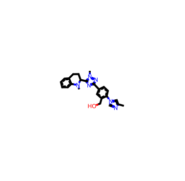 Cc1cn(-c2ccc(-c3nc(C4CCc5ccccc5N4C)n(C)n3)cc2CO)cn1